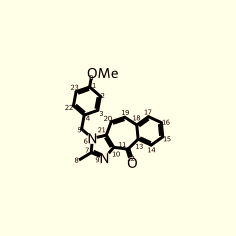 COc1ccc(Cn2c(C)nc3c(=O)c4ccccc4ccc32)cc1